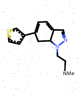 CNCCN1N=CC2=CC=C(c3ccsc3)CC21